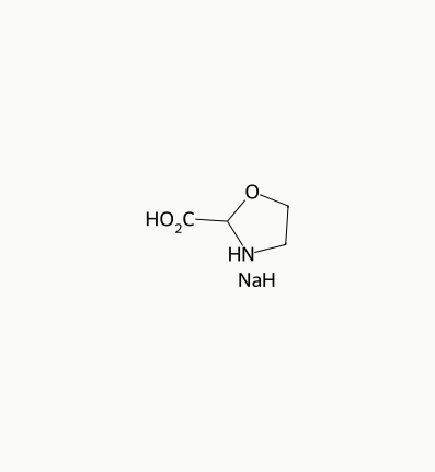 O=C(O)C1NCCO1.[NaH]